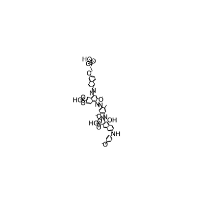 COc1ccc(Nc2ccc3c(O)c(N=Nc4cc(C)c(N=Nc5c(OC)cc(N=Nc6ccc7cc(OCCCS(=O)(=O)O)ccc7c6)c6cc(S(=O)(=O)O)ccc56)cc4OC)c(S(=O)(=O)O)cc3c2)cc1